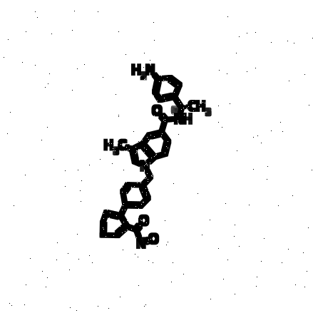 Cc1cn(Cc2ccc(-c3ccccc3C(=O)N=O)cc2)c2ccc(C(=O)N[C@@H](C)c3ccc(N)cc3)cc12